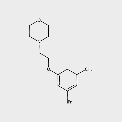 CC1C=C(C(C)C)C=C(OCCN2CCOCC2)C1